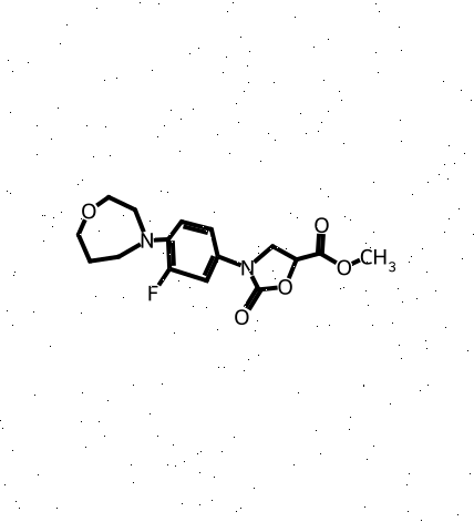 COC(=O)C1CN(c2ccc(N3CCCOCC3)c(F)c2)C(=O)O1